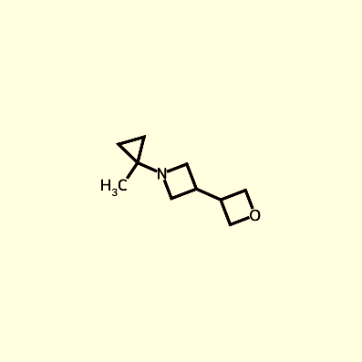 CC1(N2CC(C3COC3)C2)CC1